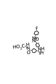 CC(C)C(Nc1ccc(-c2nnc(-c3ccc(F)cc3)o2)cc1)c1ccc(C(=O)NCCC(=O)O)cc1